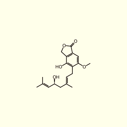 COc1cc2c(c(O)c1C/C=C(\C)C[C@H](O)C=C(C)C)COC2=O